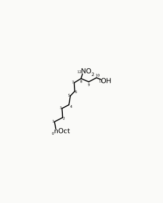 CCCCCCCCCCCCCCCC(CCO)[N+](=O)[O-]